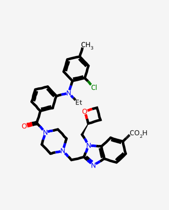 CCN(c1cccc(C(=O)N2CCN(Cc3nc4ccc(C(=O)O)cc4n3C[C@@H]3CCO3)CC2)c1)c1ccc(C)cc1Cl